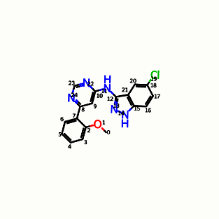 COc1ccccc1-c1cc(Nc2n[nH]c3ccc(Cl)cc23)ncn1